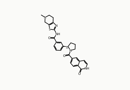 CN1CCc2nc(NC(=O)c3cccc([C@H]4CCCN4C(=O)c4ccc5c(=O)[nH]ccc5c4)c3)sc2C1